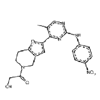 Cc1cnc(Nc2ccc([N+](=O)[O-])cc2)nc1-c1cc2c(o1)CCN(C(=O)CC#N)C2